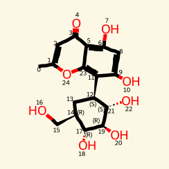 Cc1cc(=O)c2c(O)cc(O)c([C@@H]3C[C@H](CO)[C@@H](O)[C@H](O)[C@H]3O)c2o1